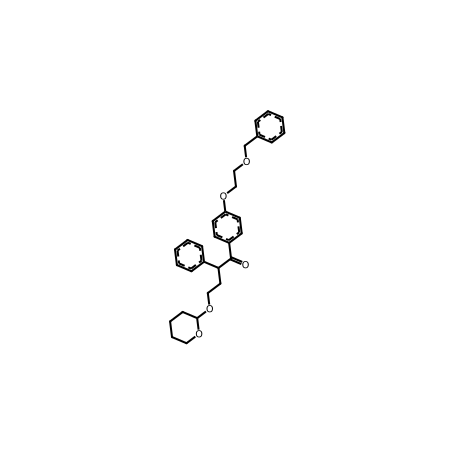 O=C(c1ccc(OCCOCc2ccccc2)cc1)C(CCOC1CCCCO1)c1ccccc1